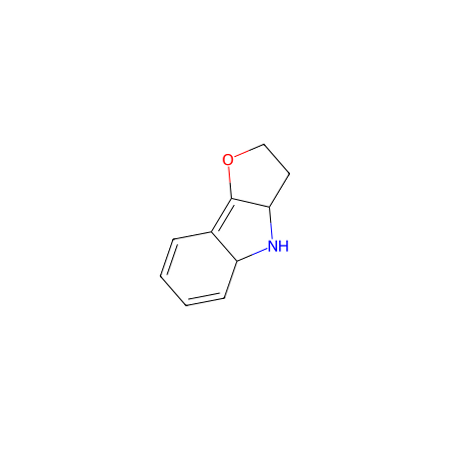 C1=CC2=C3OCCC3NC2C=C1